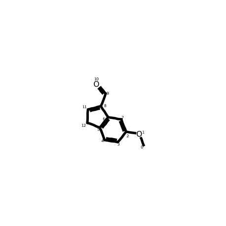 COc1ccc2c(c1)C(C=O)=CC2